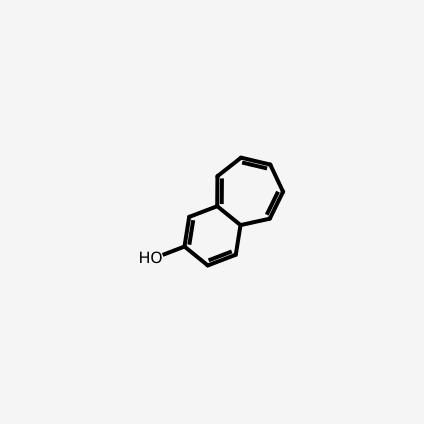 OC1=CC2=CC=CC=CC2C=C1